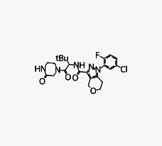 CC(C)(C)C(NC(=O)c1nn(-c2cc(Cl)ccc2F)c2c1COCC2)C(=O)N1CCNC(=O)C1